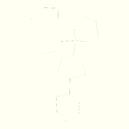 CCCC1(C2CCC(C3CC=CCC3)CC2)CCCCC1C1CCCCC1